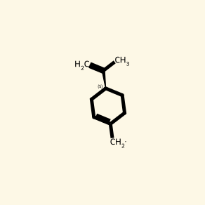 [CH2]C1=CC[C@@H](C(=C)C)CC1